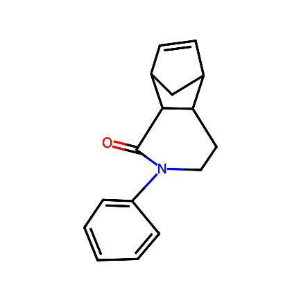 O=C1C2C3C=CC(C3)C2CCN1c1ccccc1